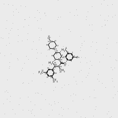 Cc1cc(F)ccc1[C@H]1C[C@@H](N2CC[S+]([O-])CC2)CCN1C(=O)N(C)[C@H](C)c1cc(C(F)(F)F)cc(C(F)(F)F)c1